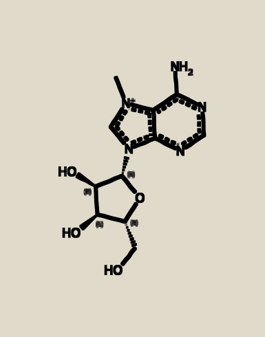 C[n+]1cn([C@@H]2O[C@H](CO)[C@@H](O)[C@H]2O)c2ncnc(N)c21